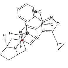 COC(=O)c1ccc(N2C3CC[C@H]2CC(OCc2c(-c4ccccc4OC(F)F)noc2C2CC2)C3)nn1